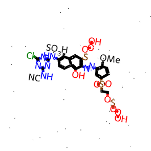 COc1ccc(S(=O)(=O)CCOSOOO)cc1/N=N/c1c(SOOO)cc2c(S(=O)(=O)O)c(Nc3nc(Cl)nc(NC#N)n3)ccc2c1O